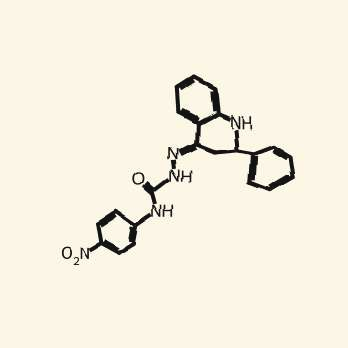 O=C(NN=C1CC(c2ccccc2)Nc2ccccc21)Nc1ccc([N+](=O)[O-])cc1